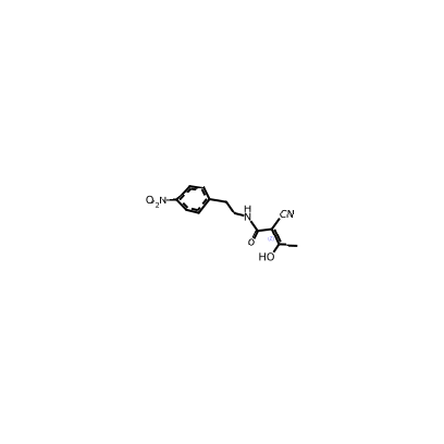 C/C(O)=C(\C#N)C(=O)NCCc1ccc([N+](=O)[O-])cc1